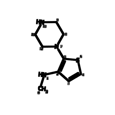 CNc1ccsc1N1CCNCC1